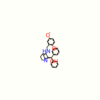 COc1ccc(OC)c(CNC2C3CCN(C(CO)C3)C2C(c2ccccc2)c2ccccc2)c1